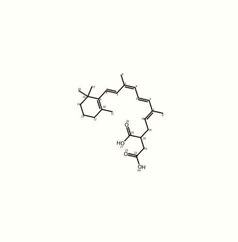 CC(C=C/C=C(/C)C=CC1=C(C)CCCC1(C)C)=CCC(CC(=O)O)C(=O)O